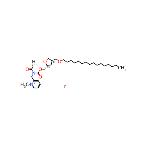 CCCCCCCCCCCCCCCCOC[C@@H]1CO[C@@H](COC(=O)N(Cc2cccc[n+]2C)C(C)=O)C1.[I-]